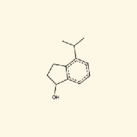 CC(C)c1cccc2c1CCC2O